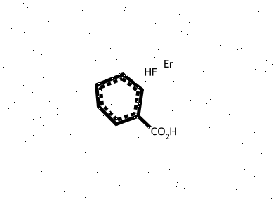 F.O=C(O)c1ccccc1.[Er]